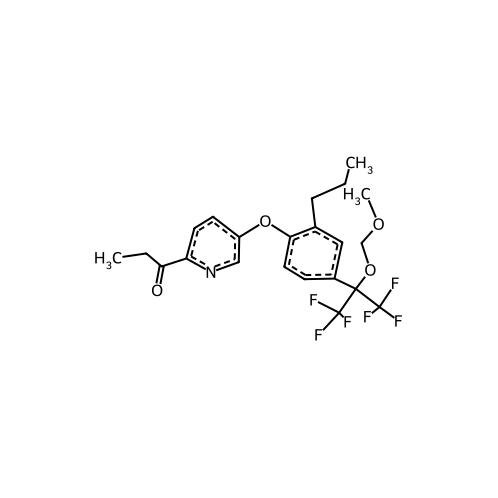 CCCc1cc(C(OCOC)(C(F)(F)F)C(F)(F)F)ccc1Oc1ccc(C(=O)CC)nc1